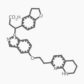 O=C(O)CC(c1ccc2c(c1)CCO2)n1ncc2cc(OCCc3ccc4c(n3)NCCC4)ccc21